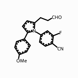 COc1ccc(-c2ccc(CCC=O)n2-c2ccc(C#N)c(F)c2)cc1